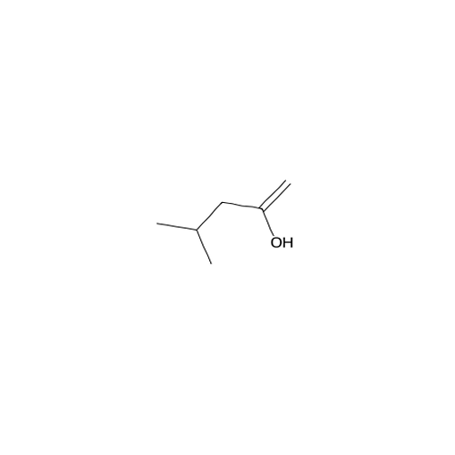 C=C(O)CC(C)C